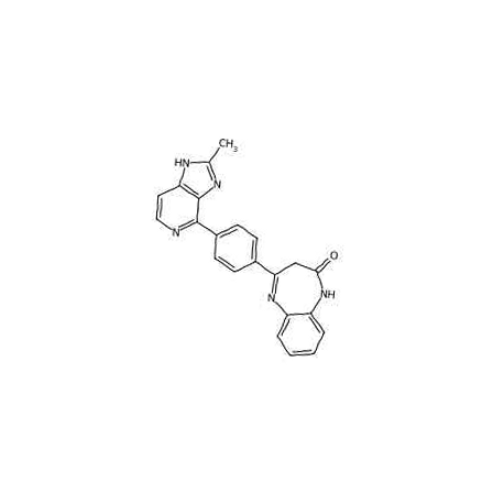 Cc1nc2c(-c3ccc(C4=Nc5ccccc5NC(=O)C4)cc3)nccc2[nH]1